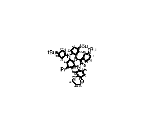 Cc1cc2c(c(C)c1N1c3cc(C(C)C)cc4c3B(c3cc(C(C)(C)C)ccc3N4c3ccc(C(C)(C)C)cc3)c3c1sc1ccc(C(C)(C)C)cc31)OCCCO2